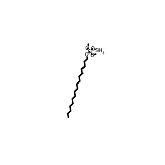 CCCCCCCCCCCCCCCCCO[Si](OC)(OC)O[SiH3]